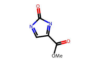 COC(=O)C1=NC(=O)N=C1